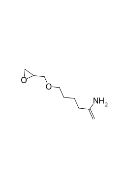 C=C(N)CCCCOCC1CO1